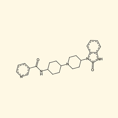 O=C(NC1CCC(N2CCC(n3c(=O)[nH]c4ccccc43)CC2)CC1)c1cccnc1